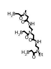 BCC(=O)N(C)CC(=O)NCCN(CC(=O)NCCN(CC)C(=O)CB)C(=O)CB